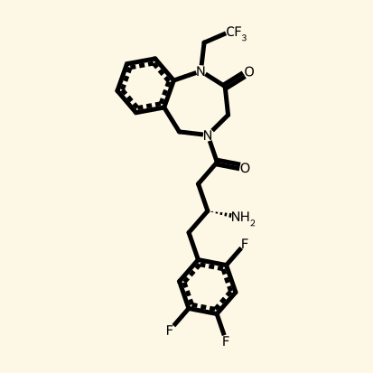 N[C@@H](CC(=O)N1CC(=O)N(CC(F)(F)F)c2ccccc2C1)Cc1cc(F)c(F)cc1F